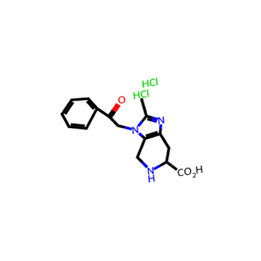 Cc1nc2c(n1CC(=O)c1ccccc1)CNC(C(=O)O)C2.Cl.Cl